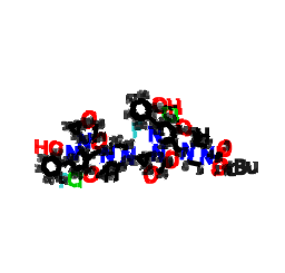 CC(C)(C)OC(=O)N1CCN2C(=O)c3c(N4CCOC5C(N6CCN7C(=O)c8c(N9CCOC%10CC%109)nc(-c9c(O)cccc9F)c(Cl)c8OC[C@H]7C6)C54)nc(-c4c(O)cccc4F)c(Cl)c3OC[C@H]2C1